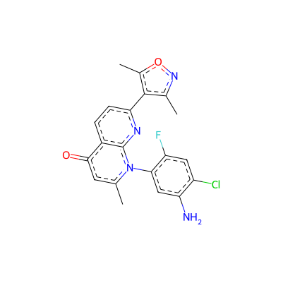 Cc1noc(C)c1-c1ccc2c(=O)cc(C)n(-c3cc(N)c(Cl)cc3F)c2n1